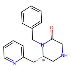 O=C1CNC[C@H](Cc2ccccn2)N1Cc1ccccc1